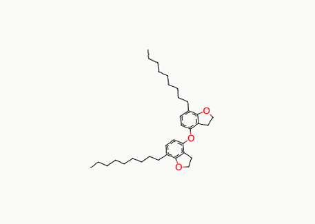 CCCCCCCCCc1ccc(Oc2ccc(CCCCCCCCC)c3c2CCO3)c2c1OCC2